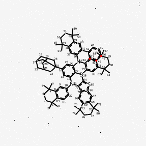 CC1(C)CCC(C)(C)c2cc(N3c4cc(C56CC7CC(CC(C7)C5)C6)cc5c4B(c4cc6c(cc4N5c4cc5c(cc4-c4ccccc4)C(C)(C)CCC5(C)C)C(C)(C)CCC6(C)C)c4sc5cc6c(cc5c43)C(C)(C)CCC6(C)C)ccc21